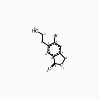 O=C1OCc2cc(Br)c(CCO)cc21